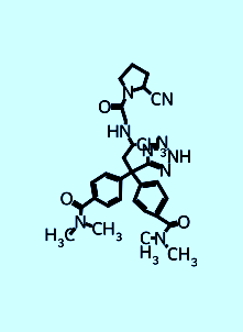 C[C@@H](CC(c1ccc(C(=O)N(C)C)cc1)(c1ccc(C(=O)N(C)C)cc1)c1nn[nH]n1)NCC(=O)N1CCCC1C#N